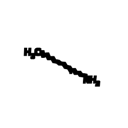 CCCCCCCCCCCC[CH]CCCCCN